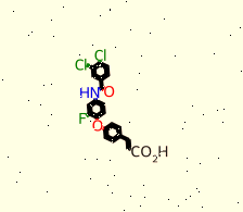 O=C(O)C=Cc1ccc(Oc2ccc(NC(=O)c3ccc(Cl)c(Cl)c3)cc2F)cc1